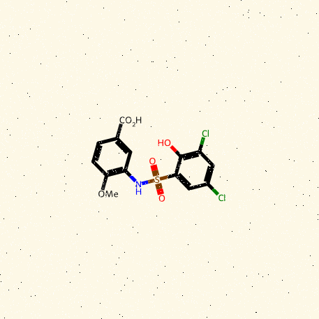 COc1ccc(C(=O)O)cc1NS(=O)(=O)c1cc(Cl)cc(Cl)c1O